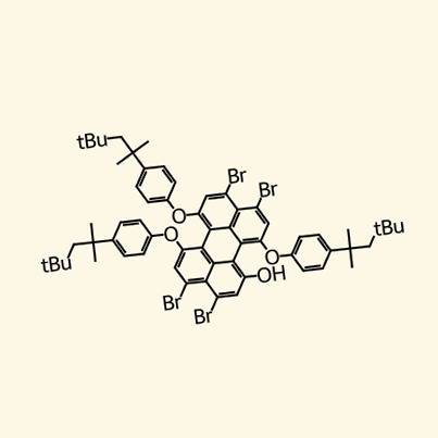 CC(C)(C)CC(C)(C)c1ccc(Oc2cc(Br)c3c(Br)cc(O)c4c5c(Oc6ccc(C(C)(C)CC(C)(C)C)cc6)cc(Br)c6c(Br)cc(Oc7ccc(C(C)(C)CC(C)(C)C)cc7)c(c2c34)c65)cc1